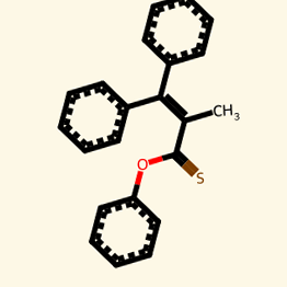 CC(C(=S)Oc1ccccc1)=C(c1ccccc1)c1ccccc1